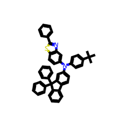 CC(C)(C)c1ccc(N(c2ccc3c(c2)C(c2ccccc2)(c2ccccc2)c2ccccc2-3)c2ccc3sc(-c4ccccc4)nc3c2)cc1